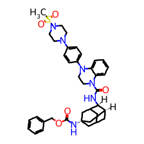 CS(=O)(=O)N1CCN(c2ccc(N3CCN(C(=O)N[C@@H]4C5CC6C[C@H]4C[C@@](NC(=O)OCc4ccccc4)(C6)C5)c4ccccc43)cc2)CC1